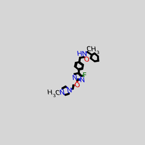 C[C@@H](NC(=O)Cc1ccc(-c2cnc(OCCN3CCN(C)CC3)nc2F)cc1)C1CCCCC1